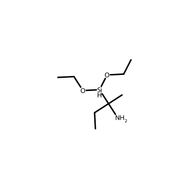 CCO[SiH](OCC)C(C)(N)CC